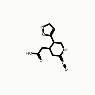 O=C=C1CC(CC(=O)O)C(C2=CCNO2)CN1